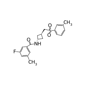 Cc1cc(F)cc(C(=O)N[C@H]2C[C@H](CS(=O)(=O)c3cccc(C)c3)C2)c1